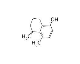 C=C1CCCc2c(O)ccc(C)c21